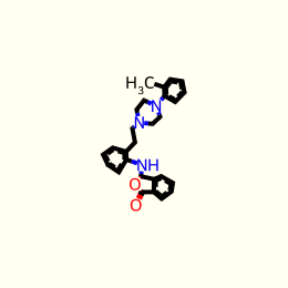 Cc1ccccc1N1CCN(CCc2ccccc2NC2OC(=O)c3ccccc32)CC1